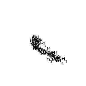 COC(=O)NC(C(=O)N1CCC[C@H]1c1ncc(-c2ccc3c(ccc4cc(-c5cnc([C@@H]6CCCN6C(=O)[C@@H](NC(=O)OC)C(C)C)[nH]5)ccc43)c2)[nH]1)C(C)C